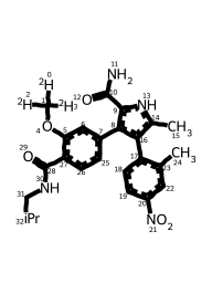 [2H]C([2H])([2H])Oc1cc(-c2c(C(N)=O)[nH]c(C)c2-c2ccc([N+](=O)[O-])cc2C)ccc1C(=O)NCC(C)C